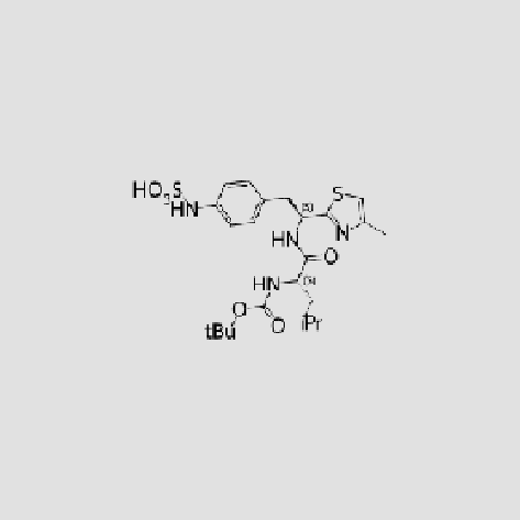 Cc1csc([C@H](Cc2ccc(NS(=O)(=O)O)cc2)NC(=O)[C@H](CC(C)C)NC(=O)OC(C)(C)C)n1